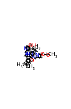 COCCOc1ccc(CNC(=O)C(c2ccc(C(C)C)cc2)(c2ccc(C(C)C)cc2)c2ccn(Cc3ccc(O)cn3)n2)nc1